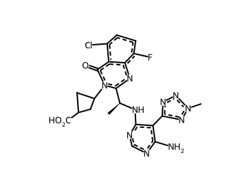 C[C@H](Nc1ncnc(N)c1-c1nnn(C)n1)c1nc2c(F)ccc(Cl)c2c(=O)n1C1CC(C(=O)O)C1